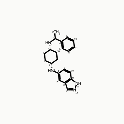 CC(N[C@H]1CC[C@@H](Nc2ccc3[nH]ncc3c2)CC1)c1ccccc1